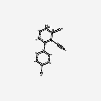 N#Cc1c(-c2ccc(Cl)cc2)nc[nH]c1=O